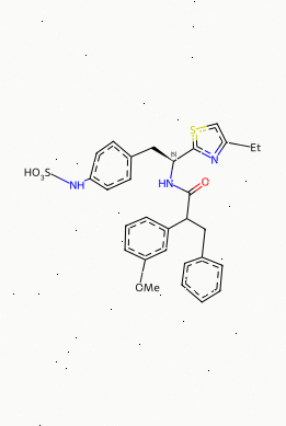 CCc1csc([C@H](Cc2ccc(NS(=O)(=O)O)cc2)NC(=O)C(Cc2ccccc2)c2cccc(OC)c2)n1